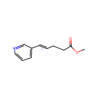 COC(=O)CC/C=C/c1cccnc1